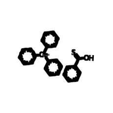 OC(=S)c1ccccc1.c1cc[c]([Ge]([c]2ccccc2)[c]2ccccc2)cc1